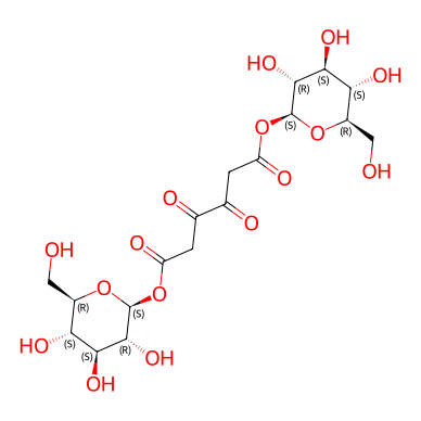 O=C(CC(=O)C(=O)CC(=O)O[C@@H]1O[C@H](CO)[C@@H](O)[C@H](O)[C@H]1O)O[C@@H]1O[C@H](CO)[C@@H](O)[C@H](O)[C@H]1O